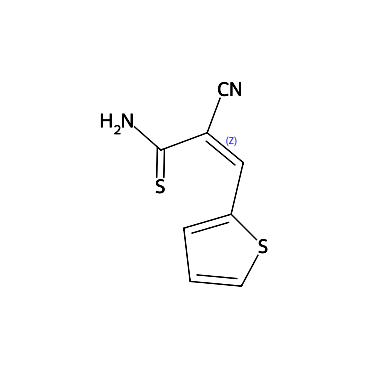 N#C/C(=C/c1cccs1)C(N)=S